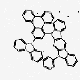 c1ccc(-n2c3ccccc3c3cc4c5ccccc5n(-c5cc(-n6c7ccccc7c7ccccc76)cc6c7ccccc7c7ccccc7c56)c4cc32)cc1